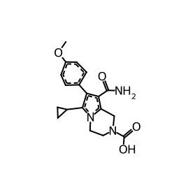 COc1ccc(-c2c(C(N)=O)c3n(c2C2CC2)CCN(C(=O)O)C3)cc1